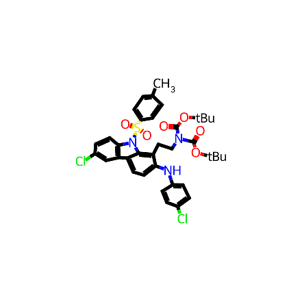 Cc1ccc(S(=O)(=O)n2c3ccc(Cl)cc3c3ccc(Nc4ccc(Cl)cc4)c(CCN(C(=O)OC(C)(C)C)C(=O)OC(C)(C)C)c32)cc1